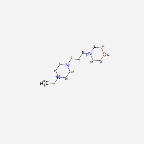 CCN1CCN(CCCN2CCOCC2)CC1